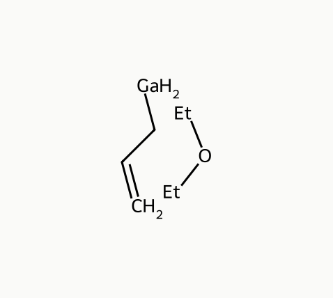 C=C[CH2][GaH2].CCOCC